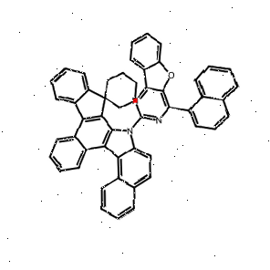 c1ccc2c(c1)-c1c(c3c(c4ccccc14)c1c4ccccc4ccc1n3-c1nc(-c3cccc4ccccc34)c3oc4ccccc4c3n1)C21CCCCC1